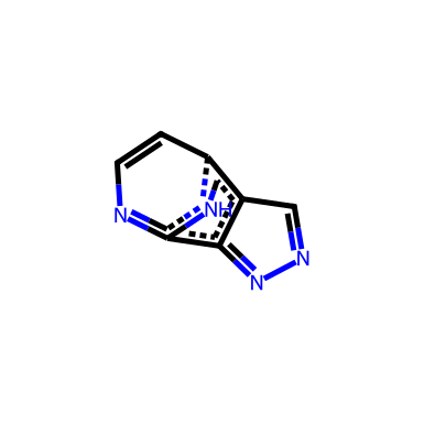 C1=Cc2[nH]c(c3c2C=NN=3)=N1